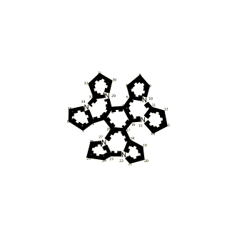 c1cc2c3c(c4c5cccn5c5cccn5c4c4c5cccn5c5cccn5c34)n3cccc3n2c1